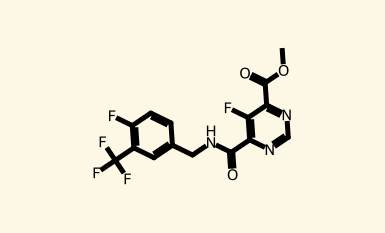 COC(=O)c1ncnc(C(=O)NCc2ccc(F)c(C(F)(F)F)c2)c1F